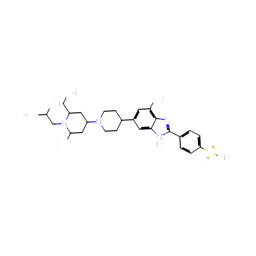 CCC1CC(N2CCC(c3cc(C)c4nc(-c5ccc(S(C)(=O)=O)cc5)[nH]c4c3)CC2)CC(C)N1CC(C)C